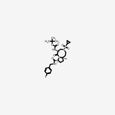 CC(C)(C)OC(=O)N[C@H]1CN(S(=O)(=O)C2CC2)CC[C@H]2CC[C@@H](C(=O)NCc3ccc(F)cc3)N2C1=O